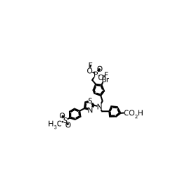 CS(=O)(=O)c1ccc(-c2csc(N(Cc3ccc(C(=O)O)cc3)Cc3ccc(CP(=O)(OF)OF)c(Br)c3)n2)cc1